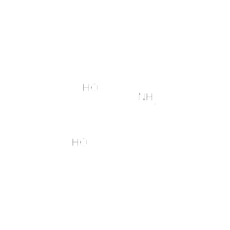 N/C(O)=C/O